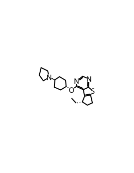 CC[C@H]1CCc2sc3ncnc(O[C@H]4CC[C@H](N5CCCC5)CC4)c3c21